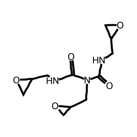 O=C(NCC1CO1)N(CC1CO1)C(=O)NCC1CO1